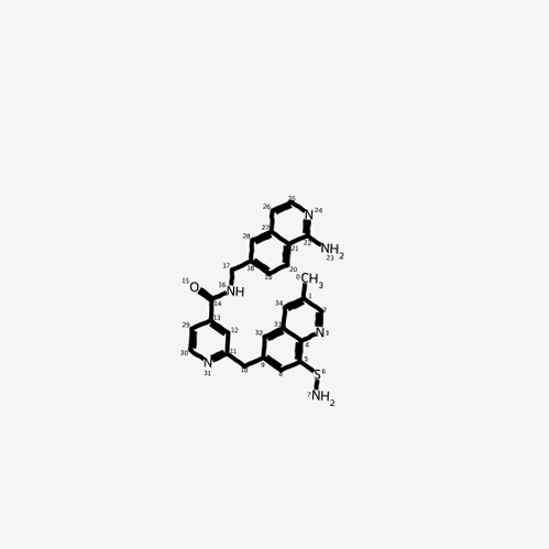 Cc1cnc2c(SN)cc(Cc3cc(C(=O)NCc4ccc5c(N)nccc5c4)ccn3)cc2c1